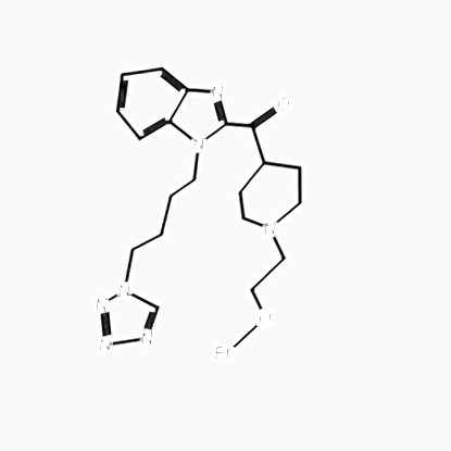 CCOCCN1CCC(C(=O)c2nc3ccccc3n2CCCCn2cnnn2)CC1